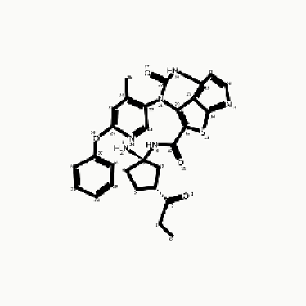 CCC(=O)[C@@H]1CC[C@](N)(NC(=O)c2sc3nccc4c3c2N(c2cnc(Oc3ccccc3)cc2C)C(=O)N4)C1